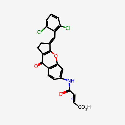 O=C(O)/C=C/C(=O)Nc1ccc2c(=O)c3c(oc2c1)C(=Cc1c(Cl)cccc1Cl)CC3